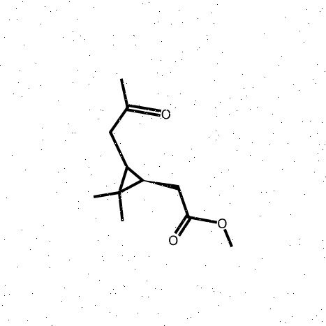 COC(=O)C[C@@H]1C(CC(C)=O)C1(C)C